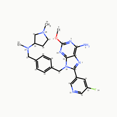 CCOc1nc(N)c2nc(-c3cncc(F)c3)n(Cc3ccc(CN(CC)C4CCN(C)C4)cc3)c2n1